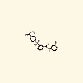 CC(=O)N1CCN(S(=O)(=O)c2cccc(C(=O)Nc3cccc(Br)c3)c2)CC1